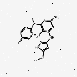 CC(C)Oc1cc(Nc2nc(N)cc([C@H](C)c3ccc(F)cn3)c2[N+](=O)[O-])n[nH]1